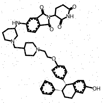 O=C1CCC(N2C(=O)c3ccc(N[C@@H]4CCCN(CC5CCN(CCOc6ccc([C@@H]7c8ccc(O)cc8CC[C@@H]7c7ccccc7)cc6)CC5)C4)cc3C2=O)C(=O)N1